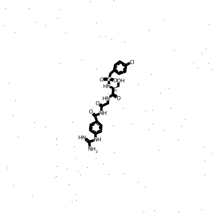 N=C(N)Nc1ccc(C(=O)NC(=O)CNC(=O)[C@@H](CO)NS(=O)(=O)Cc2ccc(Cl)cc2)cc1